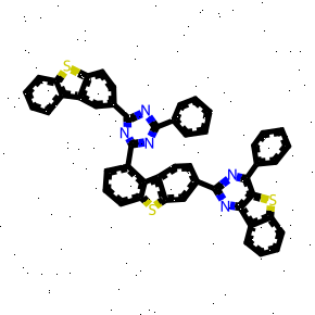 c1ccc(-c2nc(-c3ccc4sc5ccccc5c4c3)nc(-c3cccc4sc5cc(-c6nc(-c7ccccc7)c7sc8ccccc8c7n6)ccc5c34)n2)cc1